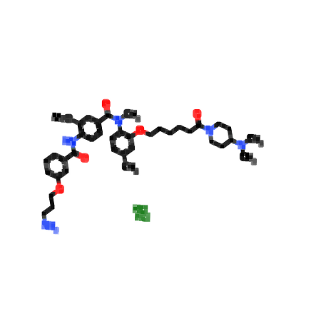 COc1cc(C(=O)N(C)c2ccc(C)cc2OCCCCCC(=O)N2CCC(N(C)C)CC2)ccc1NC(=O)c1cccc(OCCCN)c1.Cl.Cl